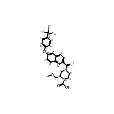 COC[C@H]1CN(C(=O)c2ccc3cc(Oc4ccc(C(F)(F)F)cn4)ccc3n2)CCN1C(=O)O